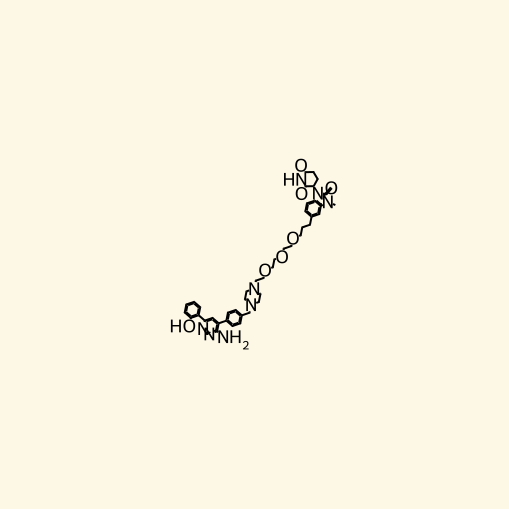 Cn1c(=O)n(C2CCC(=O)NC2=O)c2ccc(CCCOCCOCCOCCN3CCN(Cc4ccc(-c5cc(-c6ccccc6O)nnc5N)cc4)CC3)cc21